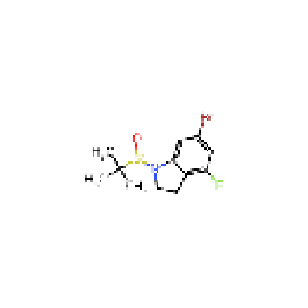 CC(C)(C)[S+]([O-])N1CCc2c(F)cc(Br)cc21